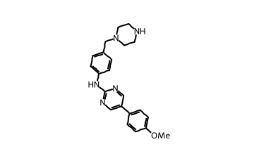 COc1ccc(-c2cnc(Nc3ccc(CN4CCNCC4)cc3)nc2)cc1